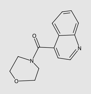 O=C(c1ccnc2ccccc12)N1CCOCC1